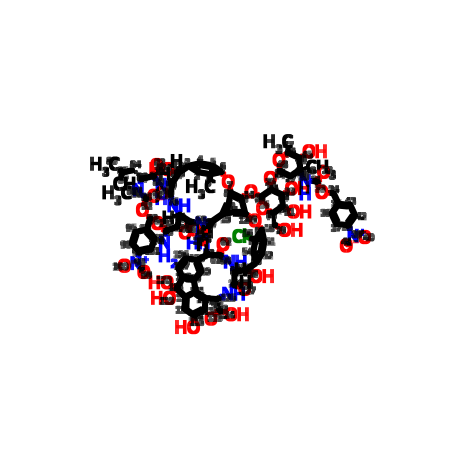 Cc1cc2ccc1Oc1cc3cc(c1O[C@@H]1O[C@H](CO)[C@@H](O)[C@H](O)[C@H]1O[C@H]1C[C@](C)(NC(=O)OCc4ccc([N+](=O)[O-])cc4)[C@H](O)[C@H](C)O1)Oc1ccc(cc1Cl)[C@@H](O)[C@@H]1NC(=O)[C@H](NC(=O)[C@@H]3NC(=O)[C@H](CC(N)=O)NC(=O)[C@H](NC(=O)[C@@H](CC(C)C)N(C)C(=O)OCc3ccc([N+](=O)[O-])cc3)[C@@H]2O)c2ccc3c(c2)-c2c(cc(O)cc2C3(O)O)[C@@H](C(=O)O)NC1=O